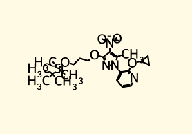 Cc1c([N+](=O)[O-])c(OCCCO[Si](C)(C)C(C)(C)C)nn1-c1cccnc1OC1CC1